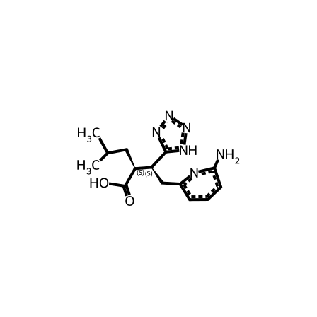 CC(C)C[C@H](C(=O)O)[C@H](Cc1cccc(N)n1)c1nnn[nH]1